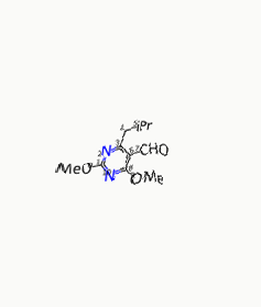 COc1nc(CC(C)C)c(C=O)c(OC)n1